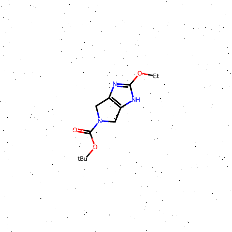 CCOc1nc2c([nH]1)CN(C(=O)OC(C)(C)C)C2